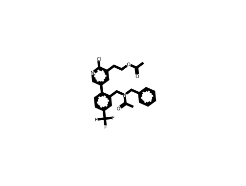 CC(=O)OCCc1cc(-c2ccc(C(F)(F)F)cc2CN(Cc2ccccc2)C(C)=O)cnc1Cl